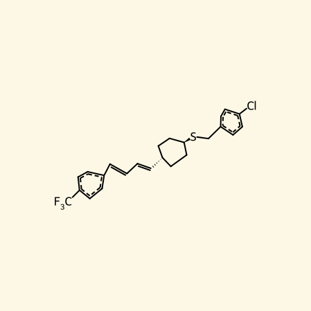 FC(F)(F)c1ccc(/C=C/C=C/[C@H]2CC[C@H](SCc3ccc(Cl)cc3)CC2)cc1